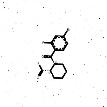 O=C(F)[C@H]1CCCC[C@@H]1C(=O)c1ccc(Br)cc1F